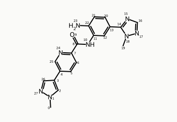 Cn1cc(-c2ccc(C(=O)Nc3cc(-c4ncnn4C)ccc3N)nc2)cn1